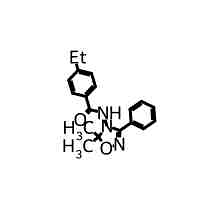 CCc1ccc(C(=O)NN2C(c3ccccc3)=NOC2(C)C)cc1